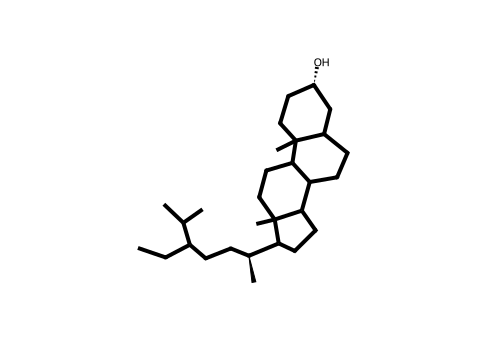 CCC(CC[C@H](C)C1CCC2C3CCC4C[C@@H](O)CCC4(C)C3CCC21C)C(C)C